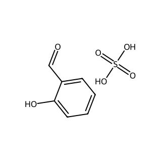 O=Cc1ccccc1O.O=S(=O)(O)O